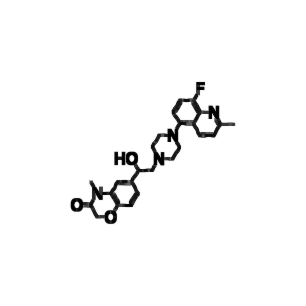 Cc1ccc2c(N3CCN(CC(O)c4ccc5c(c4)N(C)C(=O)CO5)CC3)ccc(F)c2n1